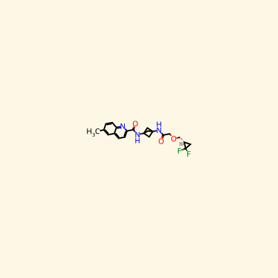 Cc1ccc2nc(C(=O)NC34CC(NC(=O)COC[C@@H]5CC5(F)F)(C3)C4)ccc2c1